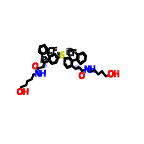 CC(C)c1ccccc1-c1c(/C=C/C(=O)NCCCCCO)ccc(Sc2ccc(/C=C/C(=O)NCCCCCO)c(-c3ccccc3C(C)C)c2C(F)(F)F)c1C(F)(F)F